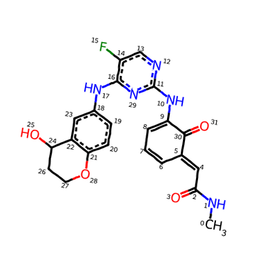 CNC(=O)C=C1C=CC=C(Nc2ncc(F)c(Nc3ccc4c(c3)C(O)CCO4)n2)C1=O